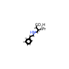 CCC[C@@H](CNCCc1ccccc1)CC(=O)O